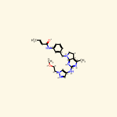 C/C=C/C(=O)Nc1cccc(CN2CCc3c(C)nc(Nc4cnn(CCOC)c4)nc32)c1